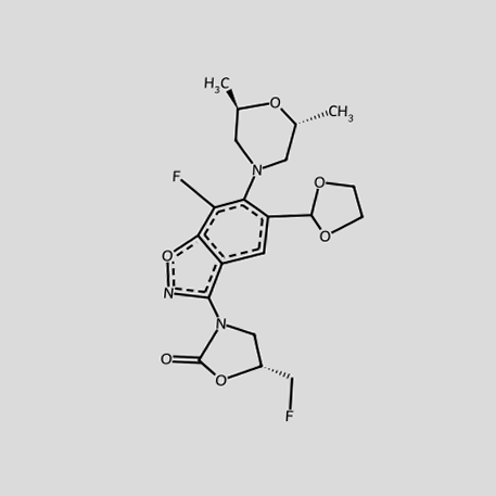 C[C@@H]1CN(c2c(C3OCCO3)cc3c(N4C[C@H](CF)OC4=O)noc3c2F)C[C@@H](C)O1